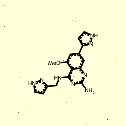 COc1cc(-c2cc[nH]n2)cc2nc(N)nc(NCc3cc[nH]n3)c12